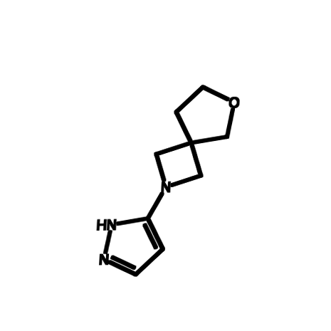 c1cc(N2CC3(CCOC3)C2)[nH]n1